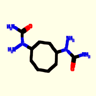 NC(=O)N(N)C1CCCCC(N(N)C(N)=O)CC1